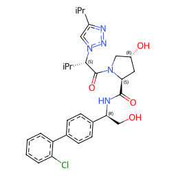 CC(C)c1cn([C@H](C(=O)N2C[C@H](O)C[C@H]2C(=O)N[C@@H](CO)c2ccc(-c3ccccc3Cl)cc2)C(C)C)nn1